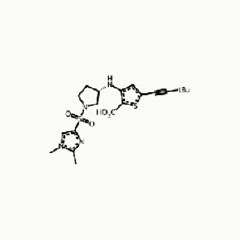 Cc1nc(S(=O)(=O)N2CC[C@H](Nc3cc(C#CC(C)(C)C)sc3C(=O)O)C2)cn1C